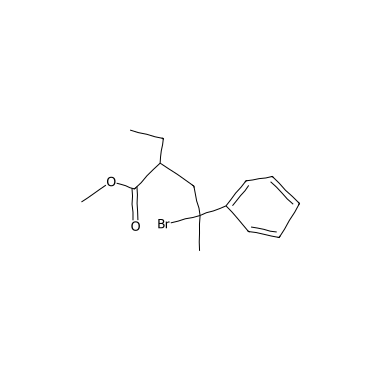 CCC(CC(C)(Br)c1ccccc1)C(=O)OC